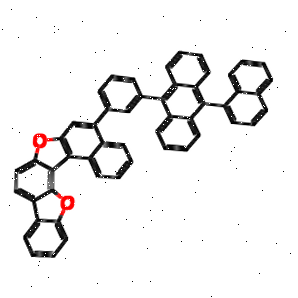 c1cc(-c2c3ccccc3c(-c3cccc4ccccc34)c3ccccc23)cc(-c2cc3oc4ccc5c6ccccc6oc5c4c3c3ccccc23)c1